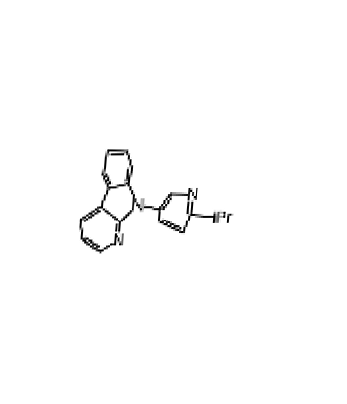 CC(C)c1ccc(-n2c3ccccc3c3cccnc32)cn1